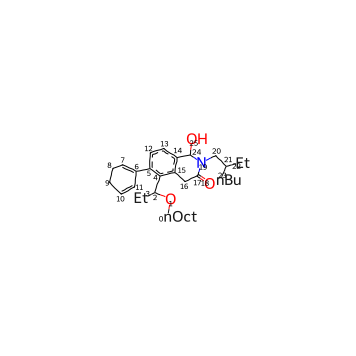 CCCCCCCCOC(CC)c1c(C2=CCCC=C2)ccc2c1CC(=O)N(CC(CC)CCCC)C2O